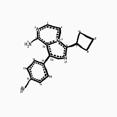 Nc1nccn2c(C3CCC3)nc(-c3ccc(Br)cc3)c12